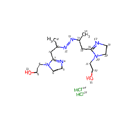 CC(CC1=NCCN1CCO)N=NC(C)CC1=NCCN1CCO.Cl.Cl